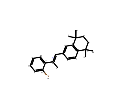 C/C(=C\c1ccc2c(c1)C(C)(C)CCC2(C)C)c1ccccc1Br